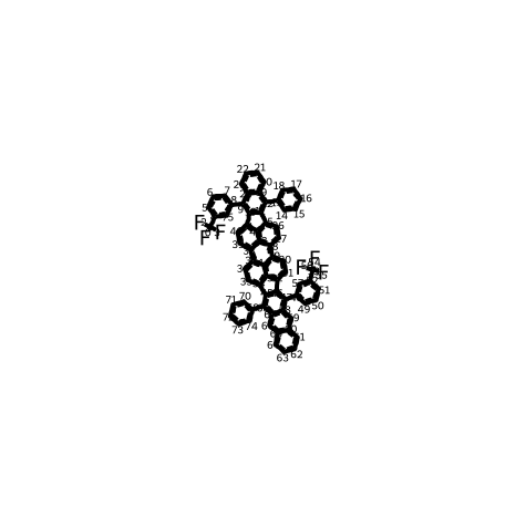 FC(F)(F)c1cccc(-c2c3c(c(-c4ccccc4)c4ccccc24)-c2ccc4c5ccc6c7c(ccc(c8ccc-3c2c84)c75)-c2c-6c(-c3cccc(C(F)(F)F)c3)c3cc4ccccc4cc3c2-c2ccccc2)c1